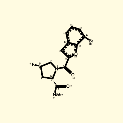 CNC(=O)[C@@H]1C[C@@H](F)CN1C(=O)c1cc2cccc(Br)c2o1